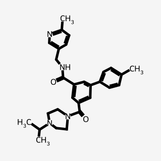 Cc1ccc(-c2cc(C(=O)NCc3ccc(C)nc3)cc(C(=O)N3CCN(C(C)C)CC3)c2)cc1